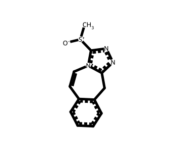 C[S+]([O-])c1nnc2n1C=Cc1ccccc1C2